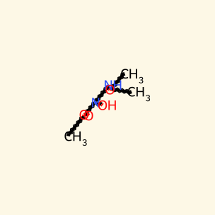 CCCCCCCCCCCOC(=O)CCCCCN(CCO)CCCCCCCC(=N)OC(CCCCCCCC)CCCCCCCC